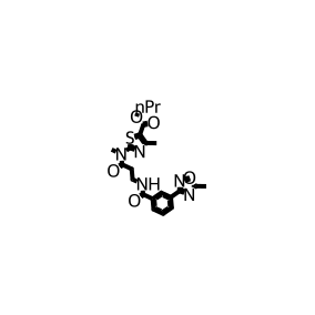 CCCOC(=O)c1sc(N(C)C(=O)CCNC(=O)c2cccc(-c3noc(C)n3)c2)nc1C